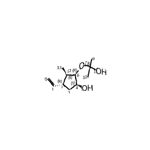 C=C[C@H]1C[C@H](O)[C@H](OC(C)(C)O)[C@@H]1C